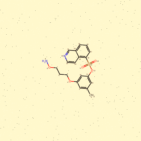 Cc1cc(OCCCON)cc(OS(=O)(=O)c2cccc3cnccc23)c1